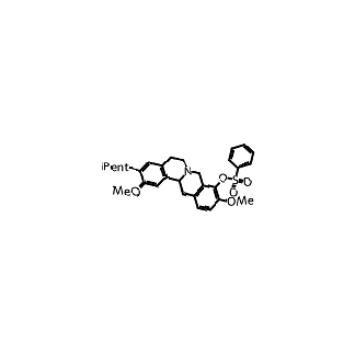 CCCC(C)c1cc2c(cc1OC)C1Cc3ccc(OC)c(OS(=O)(=O)c4ccccc4)c3CN1CC2